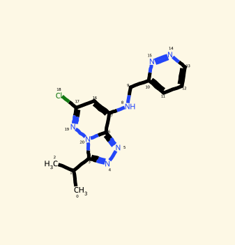 CC(C)c1nnc2c(NCc3cccnn3)cc(Cl)nn12